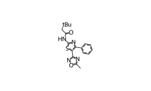 Cc1nc(-c2sc(NC(=O)CC(C)(C)C)nc2-c2ccccc2)no1